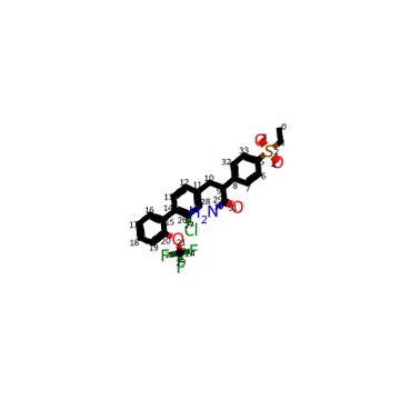 CCS(=O)(=O)c1ccc(C(Cc2ccc(-c3ccccc3OC(F)(F)F)c(Cl)c2)C(N)=O)cc1